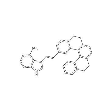 O=[N+]([O-])c1cccc2[nH]cc(/C=C/c3cc[n+]4c(c3)-c3c(ccc5c3-c3cccc[n+]3CC5)CC4)c12